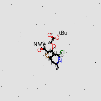 CNC(=O)c1sc2cc(C)nc(Cl)c2c1OCC(=O)OC(C)(C)C